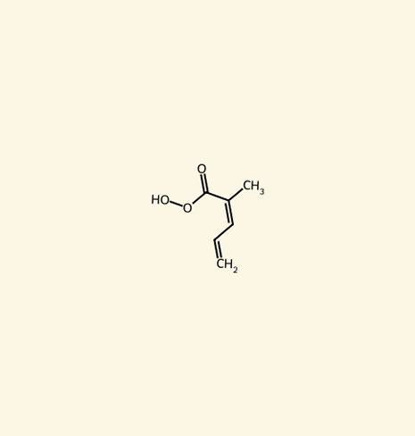 C=CC=C(C)C(=O)OO